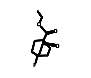 CCOC(=O)C12CCC(F)(CC1)CC2=O